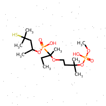 CCC(C)(OCCC(C)(C)OP(=O)(O)OC)P(=O)(O)OC(C)CC(C)(C)S